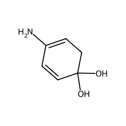 NC1=CCC(O)(O)C=C1